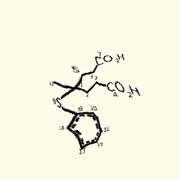 CC(CCC(=O)O)(CCC(=O)O)Sc1ccccc1